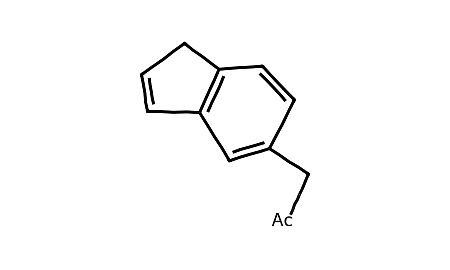 CC(=O)Cc1ccc2c(c1)C=CC2